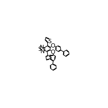 c1ccc(-c2ccc(Oc3c(Oc4ccc(-c5ccccc5)cc4)c(-c4cccs4)c4nsnc4c3-c3cccs3)cc2)cc1